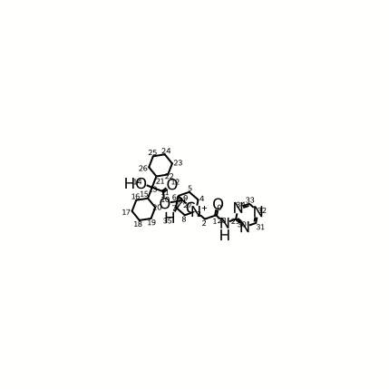 O=C(C[N+]12CCC(CC1)[C@@H](OC(=O)C(O)(C1CCCCC1)C1CCCCC1)C2)Nc1ncncn1